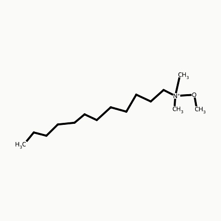 CCCCCCCCCCCC[N+](C)(C)OC